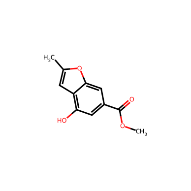 COC(=O)c1cc(O)c2cc(C)oc2c1